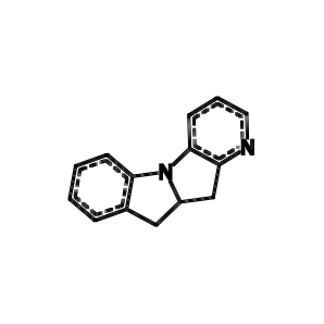 c1ccc2c(c1)CC1Cc3ncccc3N21